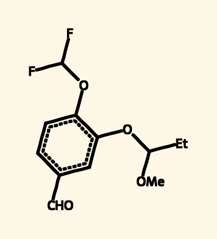 CCC(OC)Oc1cc(C=O)ccc1OC(F)F